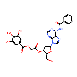 O=C(COC(=O)c1cc(O)c(O)c(O)c1)OC1CC(n2cnc3c(NC(=O)c4ccccc4)ncnc32)OC1CO